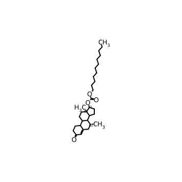 CCCCCCCCCCCCOC(=O)O[C@H]1CCC2C3C(CC[C@@]21C)C1CCC(=O)C=C1C[C@@H]3C